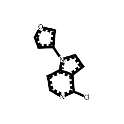 Clc1nccc2c1ccn2-c1ccoc1